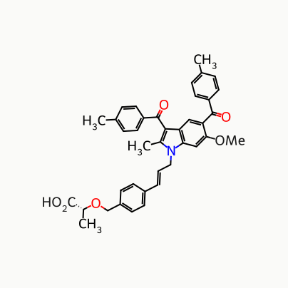 COc1cc2c(cc1C(=O)c1ccc(C)cc1)c(C(=O)c1ccc(C)cc1)c(C)n2CC=Cc1ccc(CO[C@H](C)C(=O)O)cc1